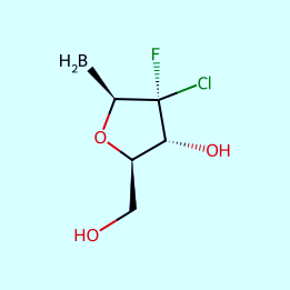 B[C@@H]1O[C@H](CO)[C@@H](O)[C@]1(F)Cl